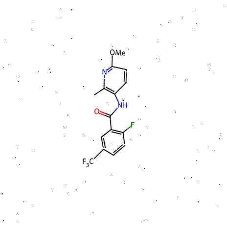 COc1ccc(NC(=O)c2cc(C(F)(F)F)ccc2F)c(C)n1